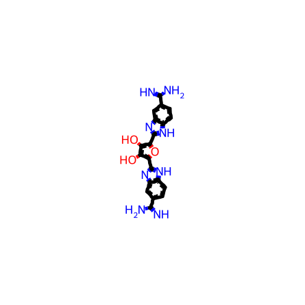 N=C(N)c1ccc2[nH]c(-c3oc(-c4nc5cc(C(=N)N)ccc5[nH]4)c(O)c3O)nc2c1